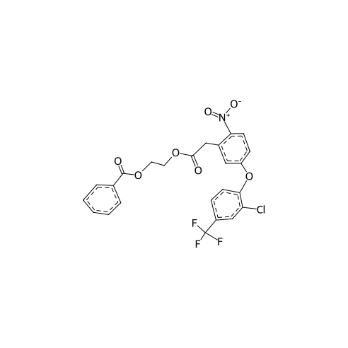 O=C(Cc1cc(Oc2ccc(C(F)(F)F)cc2Cl)ccc1[N+](=O)[O-])OCCOC(=O)c1ccccc1